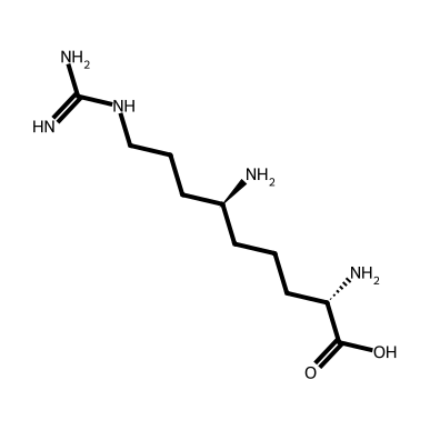 N=C(N)NCCC[C@@H](N)CCC[C@H](N)C(=O)O